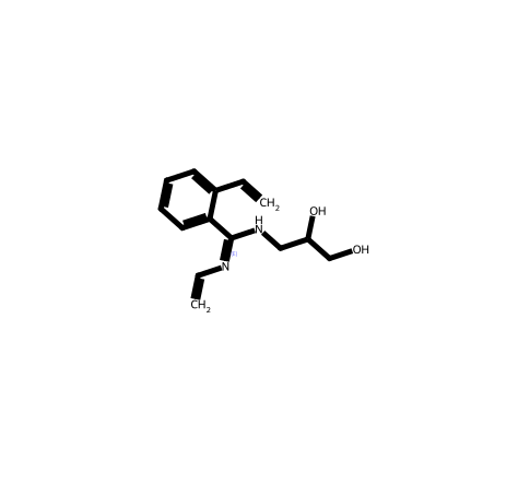 C=C/N=C(/NCC(O)CO)c1ccccc1C=C